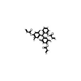 C=CC(=O)Oc1cc(C)c(C(c2cc(C)c(OC(=O)C=C)cc2C)c2ccccc2OC(=O)C=C)cc1C